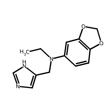 CCN(Cc1cnc[nH]1)c1ccc2c(c1)OCO2